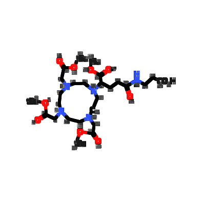 CC(C)(C)OC(=O)CN1CCN(CC(=O)OC(C)(C)C)CCN(C(CCC(=O)NCCC(=O)O)C(=O)OC(C)(C)C)CCN(CC(=O)OC(C)(C)C)CC1